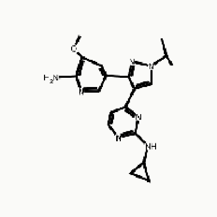 COc1cc(-c2nn(C(C)C)cc2-c2ccnc(NC3CC3)n2)cnc1N